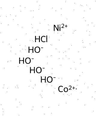 Cl.[Co+2].[Ni+2].[OH-].[OH-].[OH-].[OH-]